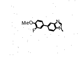 COc1ccc(-c2ccc3c(c2)ncn3C)cc1F